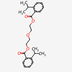 CC(C)c1ccccc1C(=O)OCCOCCOC(=O)c1ccccc1C(C)C